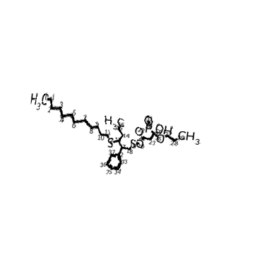 CCCCCCCCCCCCSC(CCC)C(CSOC(=O)CC(O)(OCCC)P=O)c1ccccc1